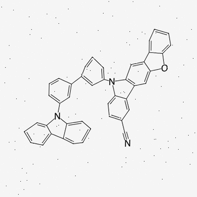 N#Cc1ccc2c(c1)c1cc3oc4ccccc4c3cc1n2-c1cccc(-c2cccc(-n3c4ccccc4c4ccccc43)c2)c1